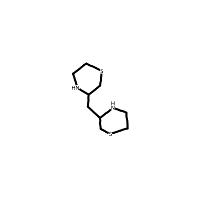 [CH](C1CSCCN1)C1CSCCN1